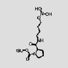 CC(C)(C)OC(=O)N1CCCC1C(=O)NCCCCON(O)O